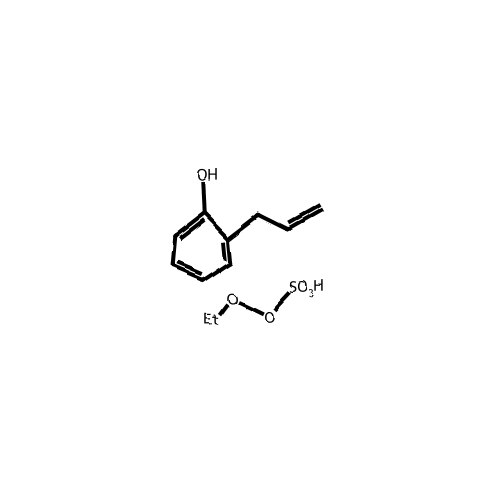 C=CCc1ccccc1O.CCOOS(=O)(=O)O